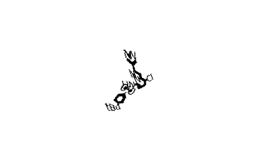 Cn1cc(-c2cc3c(Cl)ccc(NS(=O)(=O)c4ccc(C(C)(C)C)cc4)n3n2)cn1